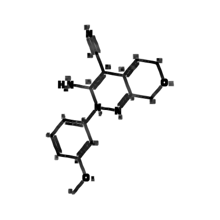 COc1cccc(N2N=C3COCC=C3C(C#N)=C2N)c1